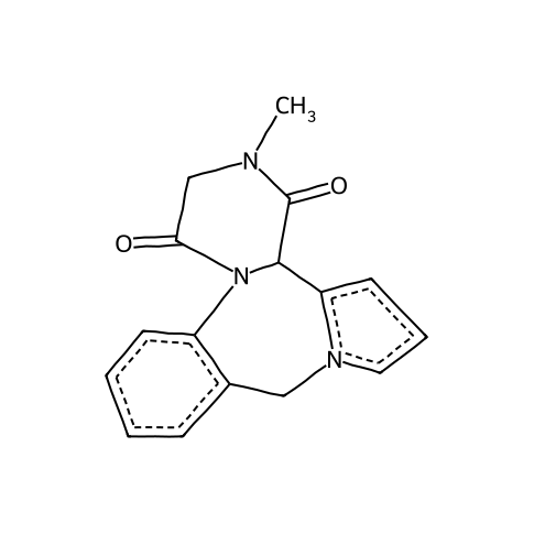 CN1CC(=O)N2c3ccccc3Cn3cccc3C2C1=O